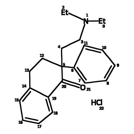 CCN(CC)CCC1(c2ccccc2)CCc2ccccc2C1=O.Cl